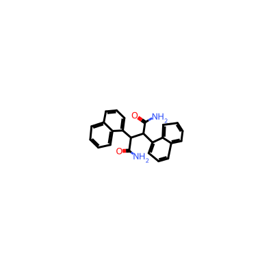 NC(=O)C(c1cccc2ccccc12)C(C(N)=O)c1cccc2ccccc12